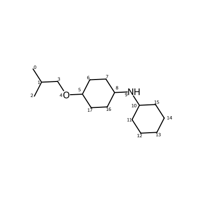 CC(C)COC1CCC(NC2CCCCC2)CC1